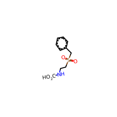 O=C(O)NCCS(=O)(=O)Cc1ccccc1